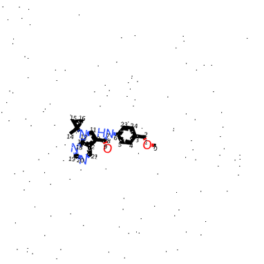 COCc1ccc(NC(=O)c2cn(C3(C)CC3)c3ncncc23)cc1